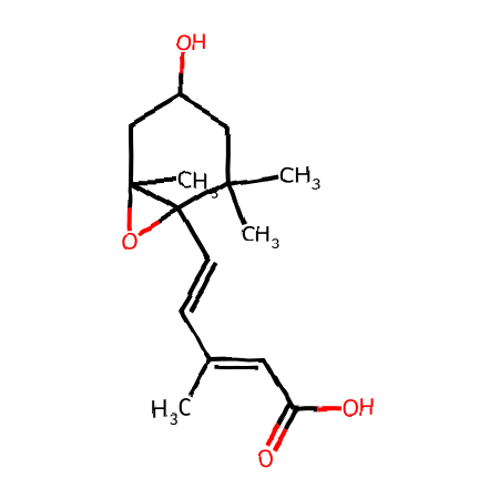 CC(C=CC12OC1(C)CC(O)CC2(C)C)=CC(=O)O